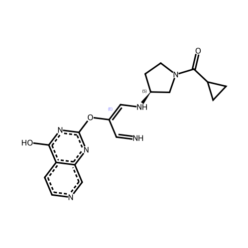 N=C/C(=C\N[C@H]1CCN(C(=O)C2CC2)C1)Oc1nc(O)c2ccncc2n1